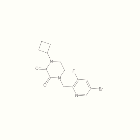 O=C1C(=O)N(C2CCC2)CCN1Cc1ncc(Br)cc1F